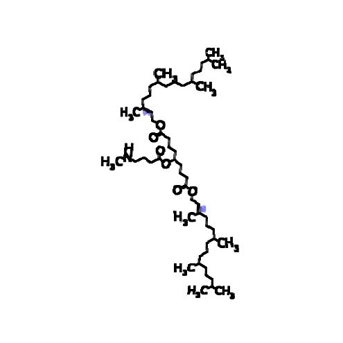 CNCCCC(=O)OC(CCCC(=O)OC/C=C(\C)CCCC(C)CCCC(C)CCCC(C)C)CCCC(=O)OC/C=C(\C)CCCC(C)CCCC(C)CCCC(C)C